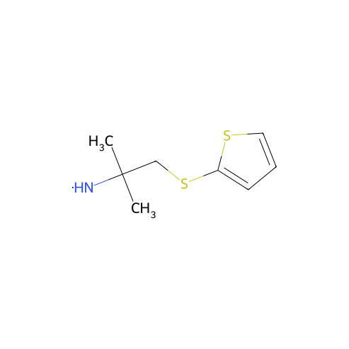 CC(C)([NH])CSc1cccs1